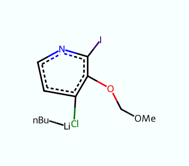 COCOc1c(Cl)ccnc1I.[Li][CH2]CCC